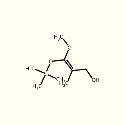 COC(O[Si](C)(C)C)=C(C)CO